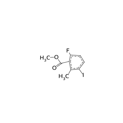 COC(=O)c1c(F)ccc(I)c1C